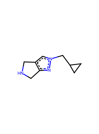 c1c2c(nn1CC1CC1)CNC2